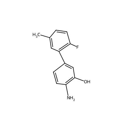 Cc1ccc(F)c(-c2ccc(N)c(O)c2)c1